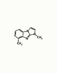 Cc1cccc2c1nc1n(C)ccn21